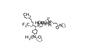 C=C(\C=C/C(=C\C)C(=C(\C=C\C=C/C=C\C)CC(F)(F)F)/c1ccc(N(C)C2CCCCO2)cc1)NCC1(NC/C=C/C(=O)N2CCCC2)CC1